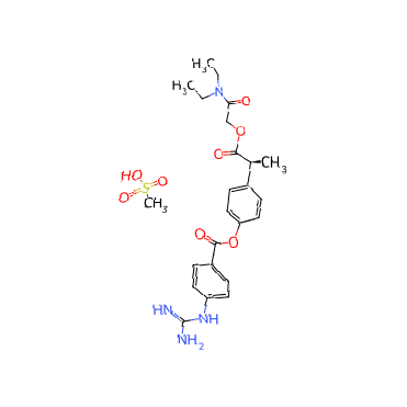 CCN(CC)C(=O)COC(=O)[C@@H](C)c1ccc(OC(=O)c2ccc(NC(=N)N)cc2)cc1.CS(=O)(=O)O